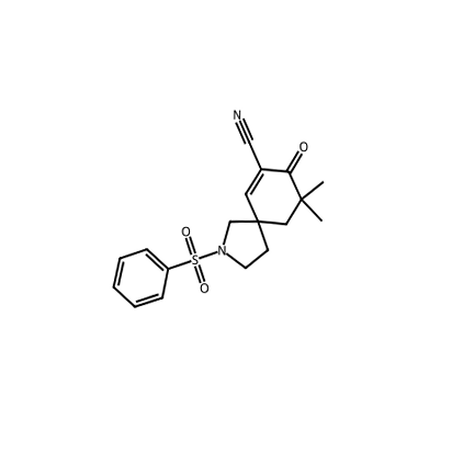 CC1(C)CC2(C=C(C#N)C1=O)CCN(S(=O)(=O)c1ccccc1)C2